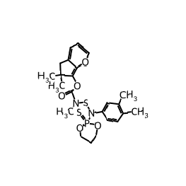 Cc1ccc(N(SN(C)C(=O)OC2=C3OC=CC=C3CC2(C)C)P2(=S)OCCCO2)cc1C